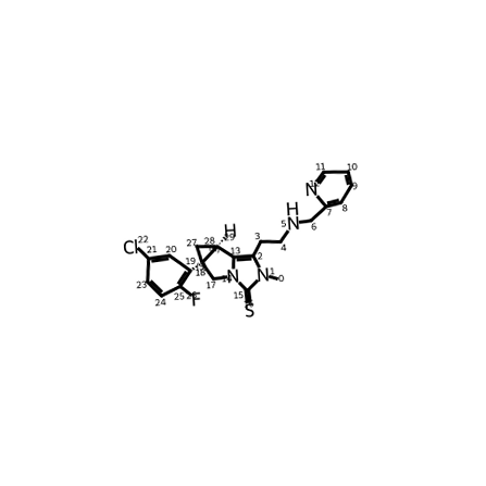 Cn1c(CCNCc2ccccn2)c2n(c1=S)C[C@@]1(c3cc(Cl)ccc3F)C[C@@H]21